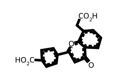 O=C(O)Cc1cccc2c(=O)cc(-c3ccc(C(=O)O)cc3)oc12